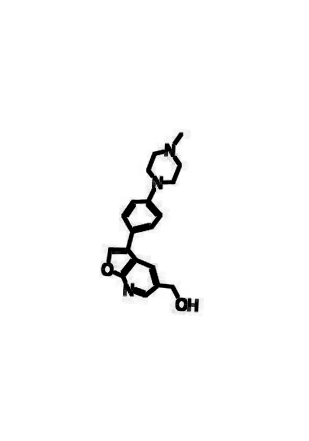 CN1CCN(c2ccc(-c3coc4ncc(CO)cc34)cc2)CC1